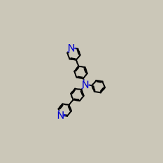 c1ccc(N(c2ccc(-c3ccncc3)cc2)c2ccc(-c3ccncc3)cc2)cc1